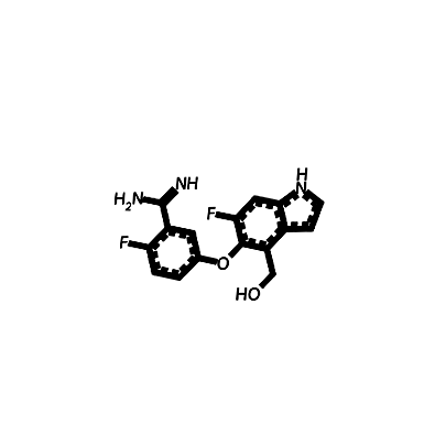 N=C(N)c1cc(Oc2c(F)cc3[nH]ccc3c2CO)ccc1F